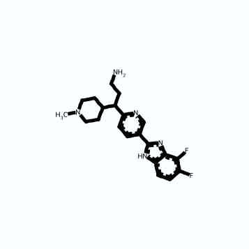 CN1CCC(C(CCN)c2ccc(-c3nc4c(F)c(F)ccc4[nH]3)cn2)CC1